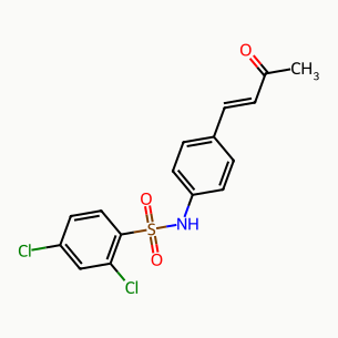 CC(=O)/C=C/c1ccc(NS(=O)(=O)c2ccc(Cl)cc2Cl)cc1